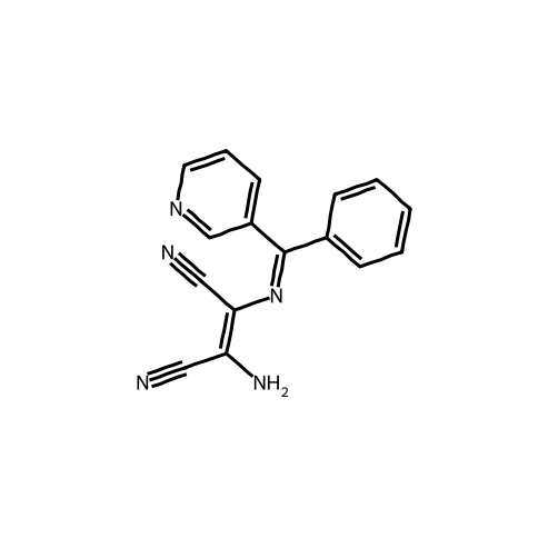 N#C/C(N)=C(\C#N)N=C(c1ccccc1)c1cccnc1